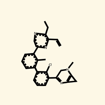 C=Cc1nc(-c2cccc(-c3cccc(C4=NC5=C(C5)N(C)C4)c3Cl)c2C)cnc1CC